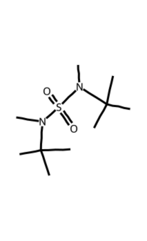 CN(C(C)(C)C)S(=O)(=O)N(C)C(C)(C)C